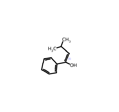 CC(C)/C=C(/O)c1ccccc1